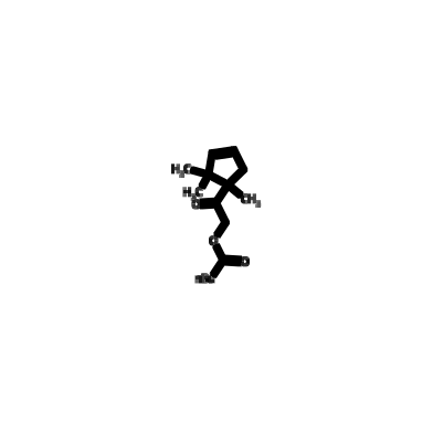 CCCCC(=O)OCC(=O)C1(C)CC=CC1(C)C